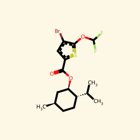 CC(C)[C@@H]1CC[C@@H](C)C[C@H]1OC(=O)c1cc(Br)c(OC(F)F)s1